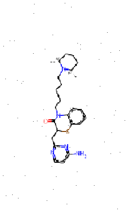 C[C@@H]1CCC[C@H](C)N1CCCCCN1C(=O)C(Cc2nccc(N)n2)Sc2ccccc21